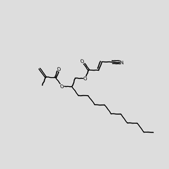 C=C(C)C(=O)OC(CCCCCCCCCC)COC(=O)C=CC#N